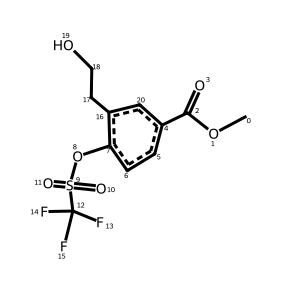 COC(=O)c1ccc(OS(=O)(=O)C(F)(F)F)c(CCO)c1